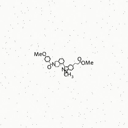 COC(=O)CCc1ccc2c(c1)c(-c1cccc3c1CCN(C(=O)c1ccc(OC)cc1)C3)nn2C